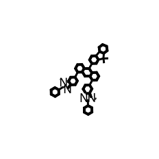 Cn1c(-c2ccccc2)nc2ccc(-c3cccc4c(-c5ccc6c(c5)C(C)(C)c5ccccc5-6)c5cccc(-c6ccc7nc(-c8ccccc8)n(C)c7c6)c5cc34)cc21